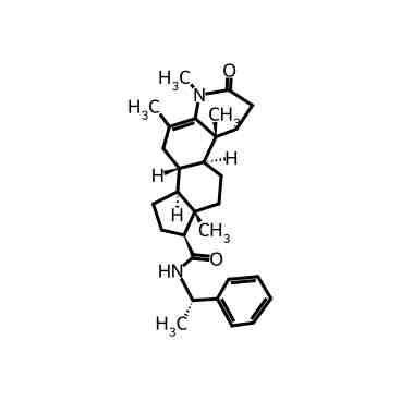 CC1=C2N(C)C(=O)CC[C@]2(C)[C@H]2CC[C@]3(C)[C@@H](C(=O)N[C@@H](C)c4ccccc4)CC[C@H]3[C@@H]2C1